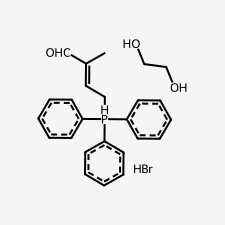 Br.CC(C=O)=CC[PH](c1ccccc1)(c1ccccc1)c1ccccc1.OCCO